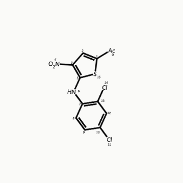 CC(=O)c1cc([N+](=O)[O-])c(Nc2ccc(Cl)cc2Cl)s1